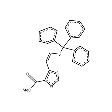 COC(=O)c1ncsc1/C=C\SC(c1ccccc1)(c1ccccc1)c1ccccc1